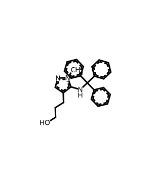 Cn1ncc(CCCO)c1NC(c1ccccc1)(c1ccccc1)c1ccccc1